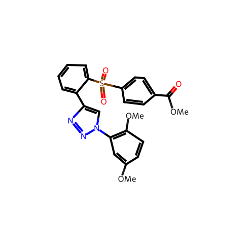 COC(=O)c1ccc(S(=O)(=O)c2ccccc2-c2cn(-c3cc(OC)ccc3OC)nn2)cc1